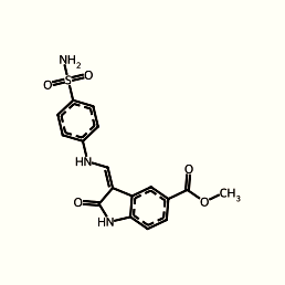 COC(=O)c1ccc2c(c1)C(=CNc1ccc(S(N)(=O)=O)cc1)C(=O)N2